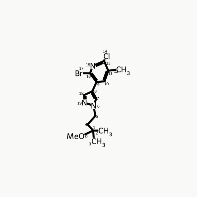 COC(C)(C)CCn1cc(-c2cc(C)c(Cl)nc2Br)cn1